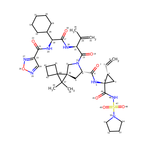 C=C[C@@H]1C[C@]1(NC(=O)[C@@H]1C[C@@]2(CN1C(=O)[C@@H](NC(=O)[C@@H](NC(=O)c1cnon1)C1CCCCC1)C(=C)C)C(C)(C)C21CCC1)C(=O)NS(=O)(=O)N1CCCC1